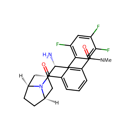 CNC(=O)c1cccc(C(=O)N2[C@@H]3CC[C@H]2C[C@H]([C@H](N)Cc2cc(F)c(F)cc2F)C3)c1